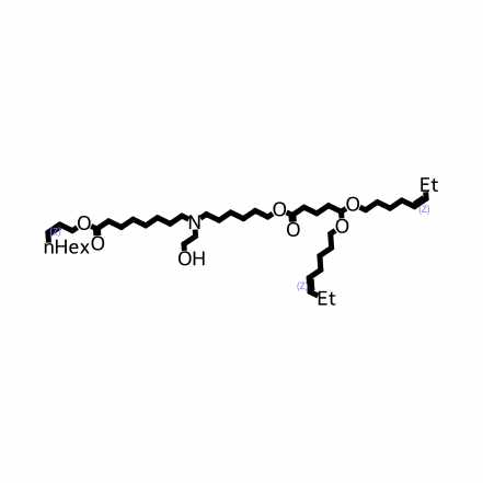 CC/C=C\CCCCOC(CCCC(=O)OCCCCCCN(CCO)CCCCCCCC(=O)OC/C=C\CCCCCC)OCCCC/C=C\CC